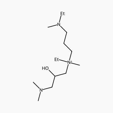 CCN(C)CCC[N+](C)(CC)CC(O)CN(C)C